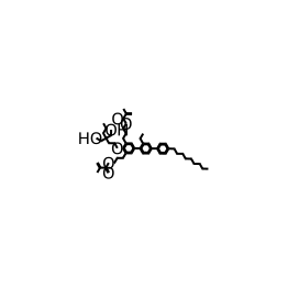 C=C(C)C(=O)OCCCc1cc(-c2ccc(-c3ccc(CCCCCCCCC)cc3)cc2CC)cc(CCCOC(=O)C(=C)C)c1OCCC(CO)(CO)CCC